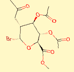 COC(=O)[C@H]1O[C@H](Br)[C@H](CC(C)=O)[C@@H](OC(C)=O)[C@@H]1OC(C)=O